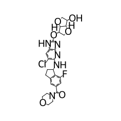 O=C(c1cc(F)c2c(c1)CCC2Nc1nc2nc(O[C@@H]3CO[C@H]4[C@@H]3OC[C@H]4O)[nH]c2cc1Cl)N1CCOCC1